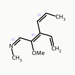 C=CC(/C=C\C)=C(/C=N\C)OC